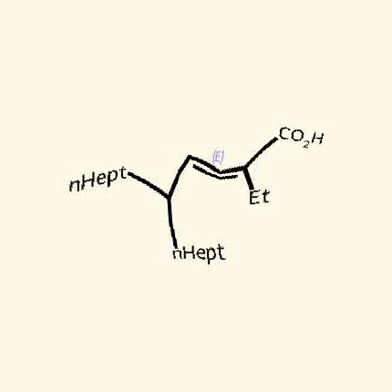 CCCCCCCC(/C=C(\CC)C(=O)O)CCCCCCC